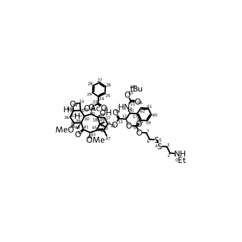 CCNCCSSCCOC(=O)O[C@@H](C(=O)O[C@H]1C[C@@]2(O)[C@@H](OC(=O)c3ccccc3)[C@@H]3[C@]4(OC(C)=O)CO[C@@H]4C[C@H](OC)[C@@]3(C)C(=O)[C@H](OC)C(=C1C)C2(C)C)[C@@H](NC(=O)OC(C)(C)C)c1ccccc1